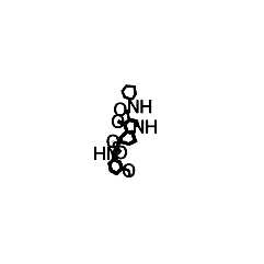 COc1cccc(NS(=O)(=O)c2ccc3[nH]cc(C(=O)NC4CCCCC4)c(=O)c3c2)c1